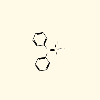 OP(O)(O)=S(c1ccccc1)c1ccccc1.[Zn]